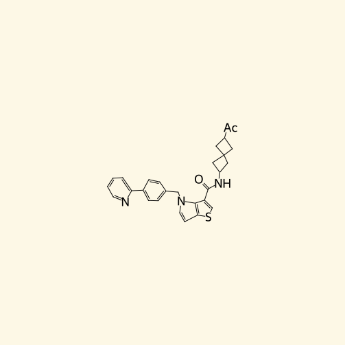 CC(=O)C1CC2(CC(NC(=O)c3csc4ccn(Cc5ccc(-c6ccccn6)cc5)c34)C2)C1